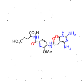 COc1nc(C(=O)NC(CCC(=O)O)C(=O)O)ccc1NC(=O)Cc1c(N)nc(N)[nH]c1=O